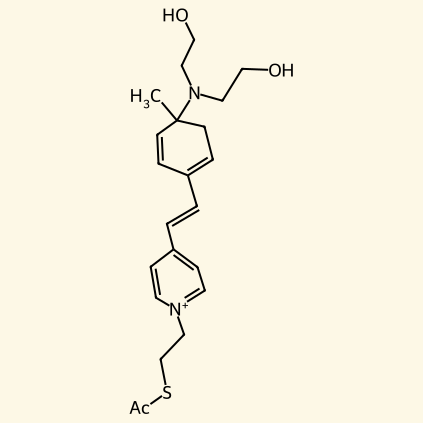 CC(=O)SCC[n+]1ccc(/C=C/C2=CCC(C)(N(CCO)CCO)C=C2)cc1